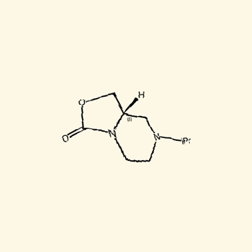 CC(C)N1CCN2C(=O)OC[C@@H]2C1